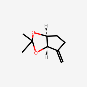 C=C1CC[C@@H]2OC(C)(C)O[C@H]12